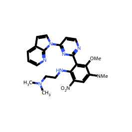 CNc1cc([N+](=O)[O-])c(NCCN(C)C)c(-c2nccc(-n3ccc4cccnc43)n2)c1OC